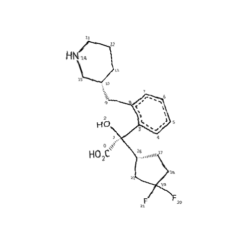 O=C(O)[C@](O)(c1ccccc1C[C@H]1CCCNC1)[C@@H]1CCC(F)(F)C1